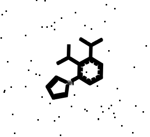 CC(C)c1cccc([SiH]2C=CC=C2)c1C(C)C